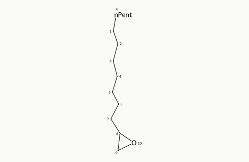 [CH2]CCCCCCCCCCCC1CO1